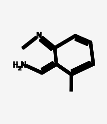 C/N=C1/C=CC=C(C)/C1=C/N